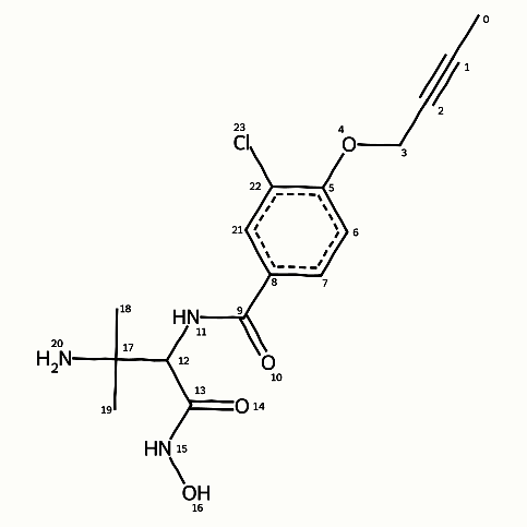 CC#CCOc1ccc(C(=O)NC(C(=O)NO)C(C)(C)N)cc1Cl